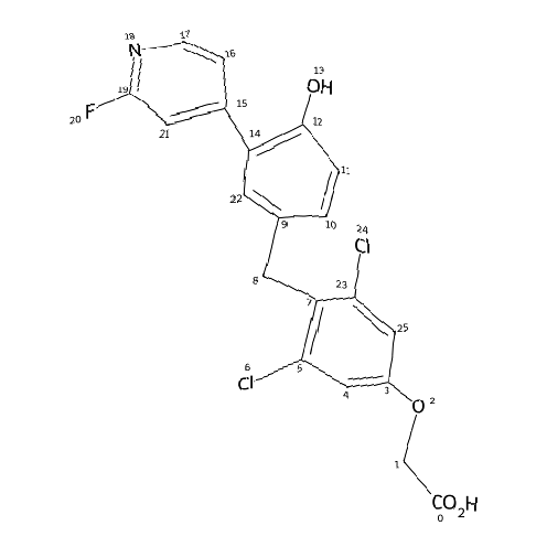 O=C(O)COc1cc(Cl)c(Cc2ccc(O)c(-c3ccnc(F)c3)c2)c(Cl)c1